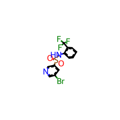 O=S(=O)(Nc1ccccc1C(F)(F)F)c1cncc(Br)c1